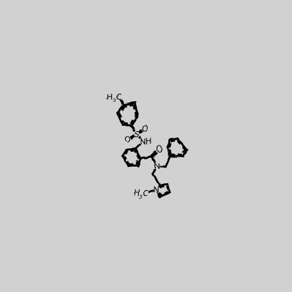 Cc1ccc(S(=O)(=O)Nc2ccccc2C(=O)N(Cc2ccccc2)Cc2cccn2C)cc1